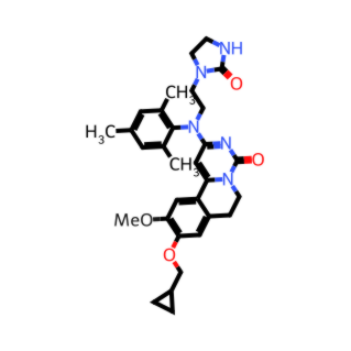 COc1cc2c(cc1OCC1CC1)CCn1c-2cc(N(CCN2CCNC2=O)c2c(C)cc(C)cc2C)nc1=O